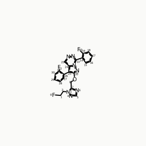 FCCn1ncnc1COc1nn2c(-c3ccccc3F)nncc2c1-c1ccccc1F